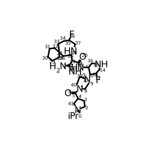 CC(C)N1CCC(C(=O)N2CCN(C3C(F)CNCC3NC(=O)C(C(N)N)C3CC4(CCCCC4)CCC(F)CN3)CC2)C1